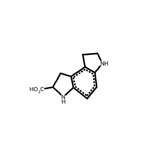 O=C(O)C1Cc2c(ccc3c2CCN3)N1